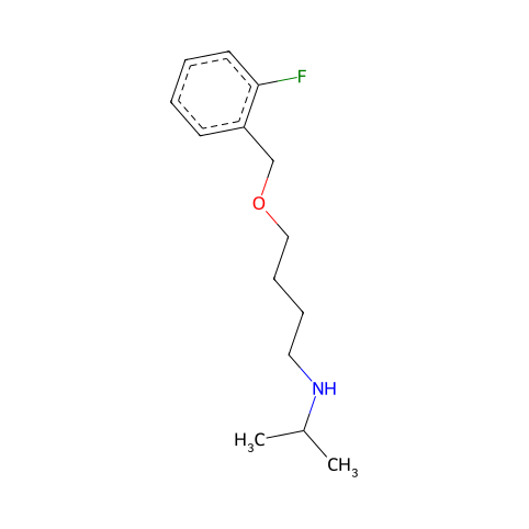 CC(C)NCCCCOCc1ccccc1F